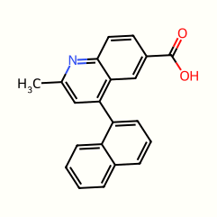 Cc1cc(-c2cccc3ccccc23)c2cc(C(=O)O)ccc2n1